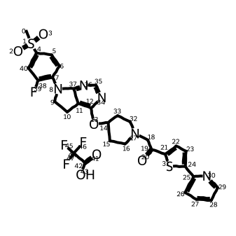 CS(=O)(=O)c1ccc(N2CCc3c(OC4CCN(CC(=O)c5ccc(-c6ccccn6)s5)CC4)ncnc32)c(F)c1.O=C(O)C(F)(F)F